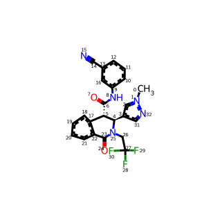 Cn1cc([C@@H]2[C@@H](C(=O)Nc3cccc(C#N)c3)c3ccccc3C(=O)N2CC(F)(F)F)cn1